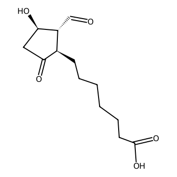 O=C[C@H]1[C@H](O)CC(=O)[C@@H]1CCCCCCC(=O)O